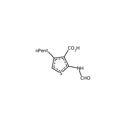 CCCCCc1csc(NC=O)c1C(=O)O